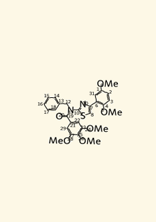 COc1ccc(OC)c(-c2csc(N(Cc3ccccc3)C(=O)c3cc(OC)c(OC)c(OC)c3)n2)c1